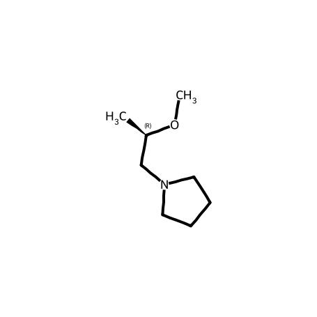 CO[C@H](C)CN1CCCC1